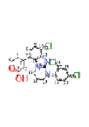 CCC(CC(=O)O)c1ccc(Cl)c2nc3n(c12)CCCN3c1ccc(Cl)cc1Cl